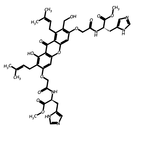 COC(=O)[C@H](Cc1cnc[nH]1)NC(=O)COc1cc2oc3cc(OCC(=O)N[C@@H](Cc4cnc[nH]4)C(=O)OC)c(CO)c(CC=C(C)C)c3c(=O)c2c(O)c1CC=C(C)C